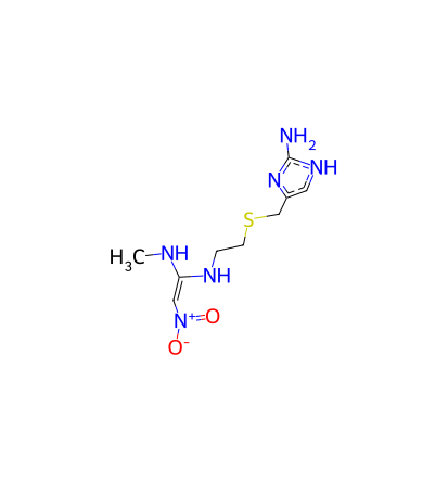 CN/C(=C/[N+](=O)[O-])NCCSCc1c[nH]c(N)n1